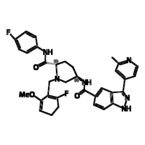 COC1=CCCC(F)=C1CN1C[C@H](NC(=O)c2ccc3[nH]nc(-c4ccnc(C)c4)c3c2)CC[C@H]1C(=O)Nc1ccc(F)cc1